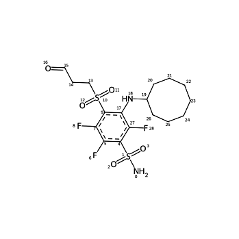 NS(=O)(=O)c1c(F)c(F)c(S(=O)(=O)CCC=O)c(NC2CCCCCCC2)c1F